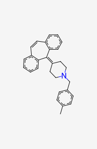 Cc1ccc(CN2CCC(=C3c4ccccc4C=Cc4ccccc43)CC2)cc1